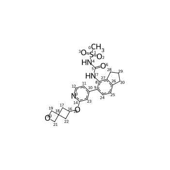 CS(=O)(=O)NC(=O)Nc1c(-c2ccnc(OC3CC4(COC4)C3)c2)ccc2c1CCC2